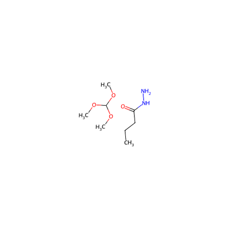 CCCC(=O)NN.COC(OC)OC